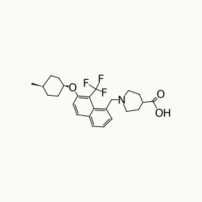 C[C@H]1CC[C@@H](Oc2ccc3cccc(CN4CCC(C(=O)O)CC4)c3c2C(F)(F)F)CC1